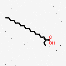 CCCCCCCCCCCCCCC/C=C(\CC)C(=O)O